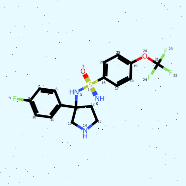 N=S(=O)(NC1(c2ccc(F)cc2)CCNC1)c1ccc(OC(F)(F)F)cc1